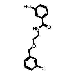 O=C(NCCOCc1cccc(Cl)c1)c1cccc(O)c1